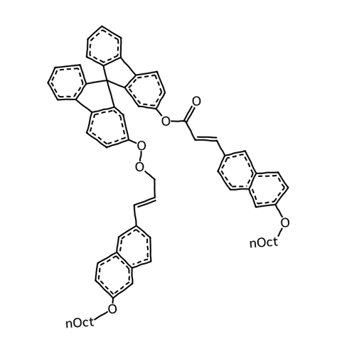 CCCCCCCCOc1ccc2cc(/C=C/COOc3ccc4c(c3)C3(c5ccccc5-4)c4ccccc4-c4ccc(OC(=O)/C=C/c5ccc6cc(OCCCCCCCC)ccc6c5)cc43)ccc2c1